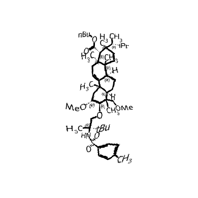 CCCCOC(=O)[C@@H]1[C@@](C)([C@H](C)C(C)C)CC[C@]2(C)[C@H]3CC[C@H]4C(C)(COC)[C@@H](OC[C@](C)(NS(=O)(=O)c5ccc(C)cc5)C(C)(C)C)[C@H](OC)C[C@]4(C)C3=CC[C@@]12C